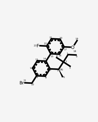 CCC(C)(C)[C@@H](C)c1cc(CBr)ccc1-c1cc(OC)ccc1F